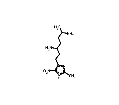 Cc1nc(CCC(N)CCC(C)N)c([N+](=O)[O-])[nH]1